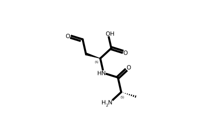 C[C@H](N)C(=O)N[C@@H](CC=O)C(=O)O